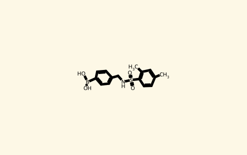 Cc1ccc(S(=O)(=O)NCc2ccc(B(O)O)cc2)c(C)c1